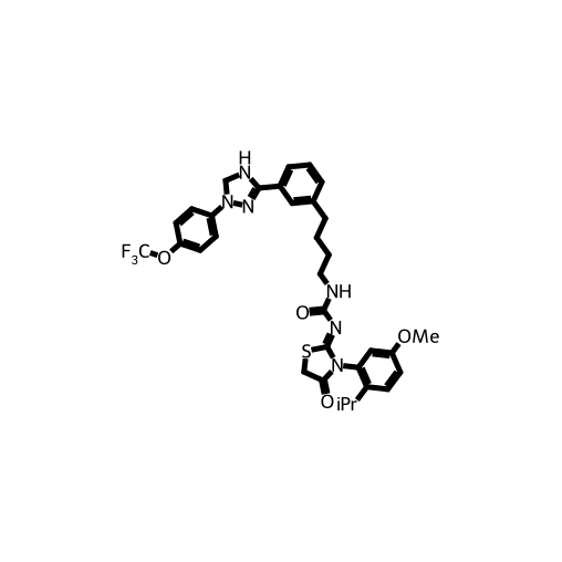 COc1ccc(C(C)C)c(N2C(=O)CS/C2=N\C(=O)NCCCCc2cccc(C3=NN(c4ccc(OC(F)(F)F)cc4)CN3)c2)c1